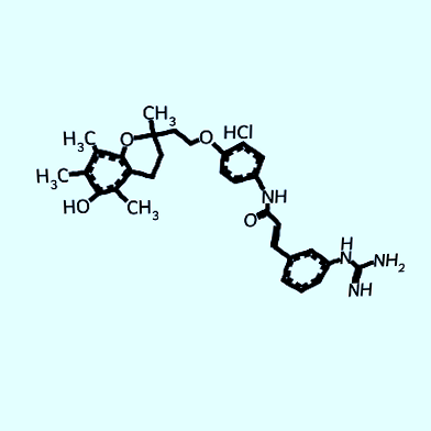 Cc1c(C)c2c(c(C)c1O)CCC(C)(CCOc1ccc(NC(=O)C=Cc3cccc(NC(=N)N)c3)cc1)O2.Cl